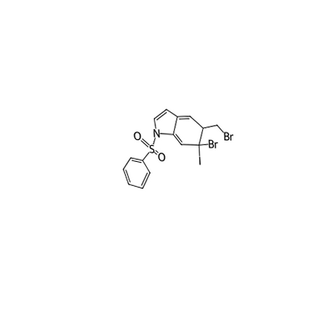 O=S(=O)(c1ccccc1)n1ccc2c1=CC(Br)(I)C(CBr)C=2